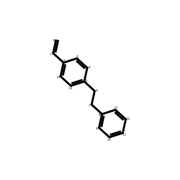 C=Cc1ccc(CCc2ccccc2)cc1